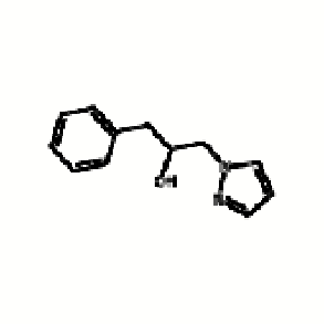 OC(Cc1ccccc1)Cn1cccn1